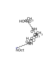 CCCCCCCC/C=C\CCCCCCCC(=O)N[C@H]1CC[C@@]2(C)C(CCC3C2CC[C@@]2(C)C3CC[C@@H]2[C@H](C)CCC(=O)NCCCCCC(=O)N2C[C@@H](O)CC2C)C1